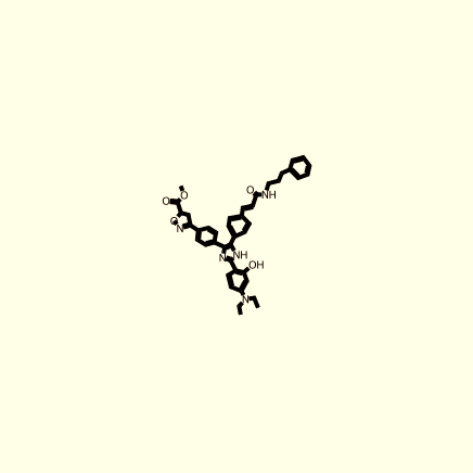 CCN(CC)c1ccc(-c2nc(-c3ccc(C4=NOC(C(=O)OC)C4)cc3)c(-c3ccc(C=CC(=O)NCCCc4ccccc4)cc3)[nH]2)c(O)c1